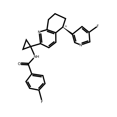 O=C(NC1(c2ccc3c(n2)CCC[C@H]3c2cncc(F)c2)CC1)c1ccc(F)cc1